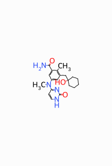 Cc1c(CC2(O)CCCCC2)cc(N(C)c2cc[nH]c(=O)n2)cc1C(N)=O